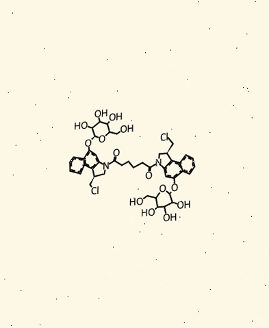 O=C(CCCCC(=O)N1C[C@@H](CCl)c2c1cc(O[C@@H]1OC(CO)[C@H](O)C(O)C1O)c1ccccc21)N1C[C@@H](CCl)c2c1cc(O[C@@H]1OC(CO)[C@H](O)C(O)C1O)c1ccccc21